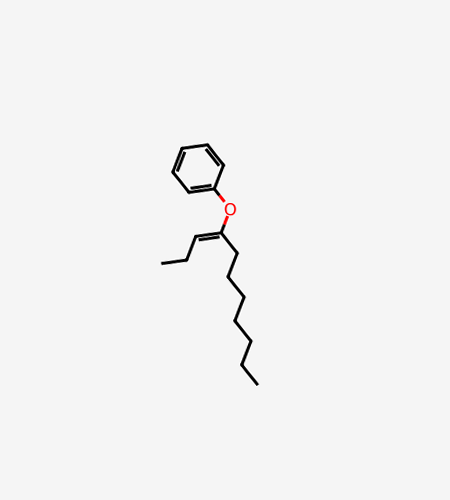 CCC=C(CCCCCCC)Oc1ccccc1